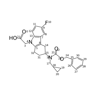 O=C(O)Cn1c2c(c3cc(F)ccc31)CC(N(CC1CC1)C(=O)OCc1ccccc1)CC2